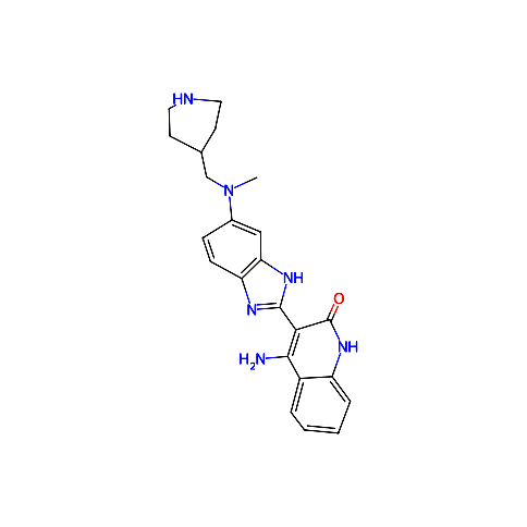 CN(CC1CCNCC1)c1ccc2nc(-c3c(N)c4ccccc4[nH]c3=O)[nH]c2c1